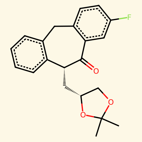 CC1(C)OC[C@@H](C[C@H]2C(=O)c3cc(F)ccc3Cc3ccccc32)O1